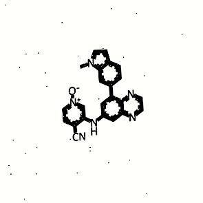 Cn1ccc2ccc(-c3cc(Nc4c[n+]([O-])ccc4C#N)cc4nccnc34)cc21